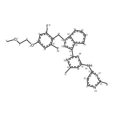 COCCOc1cc(F)c(Cn2nc(-c3nc(C)cc(Nc4ccnc(C)n4)n3)c3ccccc32)c(F)c1